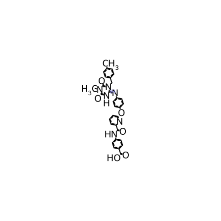 Cc1ccc(Cn2c(=O)n(C)c(=O)[nH]/c2=N\c2ccc(Oc3cccc(C(=O)Nc4ccc(C(=O)O)cc4)n3)cc2)cc1